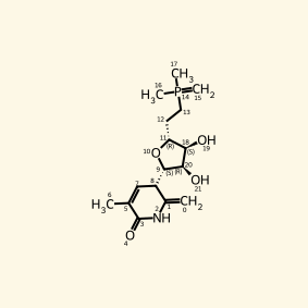 C=C1NC(=O)C(C)=CC1[C@@H]1O[C@H](CCP(=C)(C)C)[C@@H](O)[C@H]1O